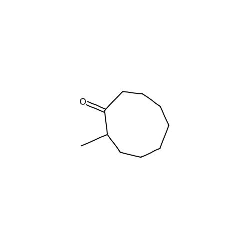 CC1CCCCCCCC1=O